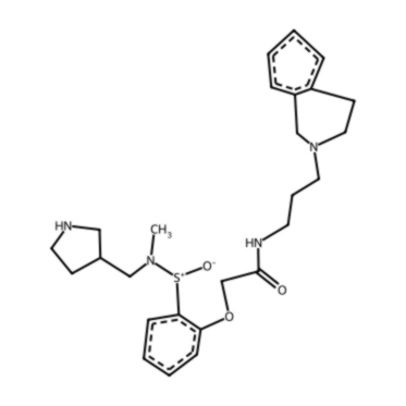 CN(CC1CCNC1)[S+]([O-])c1ccccc1OCC(=O)NCCCN1CCc2ccccc2C1